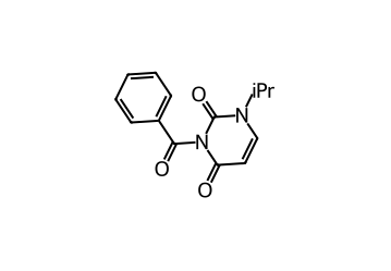 CC(C)n1ccc(=O)n(C(=O)c2ccccc2)c1=O